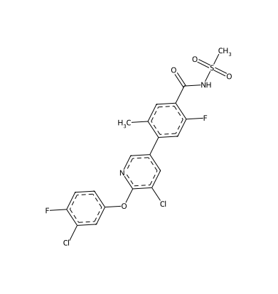 Cc1cc(C(=O)NS(C)(=O)=O)c(F)cc1-c1cnc(Oc2ccc(F)c(Cl)c2)c(Cl)c1